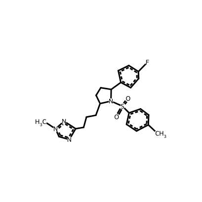 Cc1ccc(S(=O)(=O)N2C(CCCc3ncn(C)n3)CCC2c2ccc(F)cc2)cc1